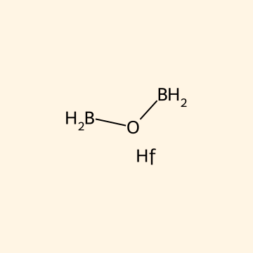 BOB.[Hf]